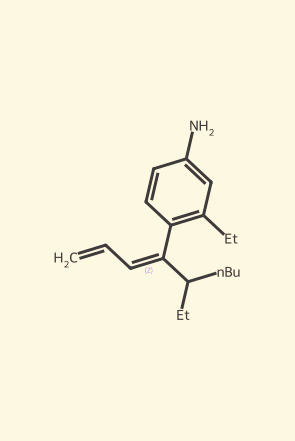 C=C/C=C(\c1ccc(N)cc1CC)C(CC)CCCC